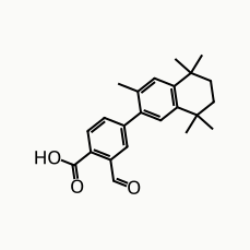 Cc1cc2c(cc1-c1ccc(C(=O)O)c(C=O)c1)C(C)(C)CCC2(C)C